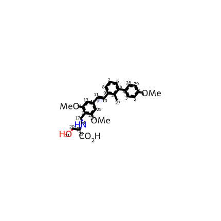 COc1ccc(-c2cccc(/C=C/c3cc(OC)c(CN[C@@H](CO)C(=O)O)c(OC)c3)c2C)cc1